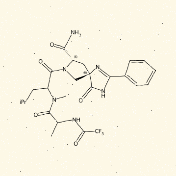 CC(C)CC(C(=O)N1C[C@@]2(C[C@H]1C(N)=O)N=C(c1ccccc1)NC2=O)N(C)C(=O)C(C)NC(=O)C(F)(F)F